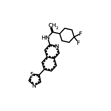 C=C(Nc1cc2cc(-c3cncs3)ccc2cn1)C1CCC(F)(F)CC1